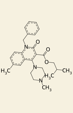 Cc1ccc2c(c1)c(N1CCN(C)CC1)c(C(=O)OCC(C)C)c(=O)n2Cc1ccccc1